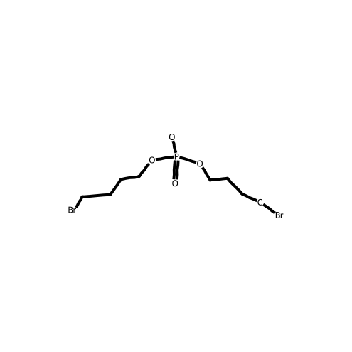 [O]P(=O)(OCCCCBr)OCCCCBr